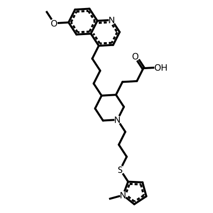 COc1ccc2nccc(CCCC3CCN(CCCSc4cccn4C)CC3CCC(=O)O)c2c1